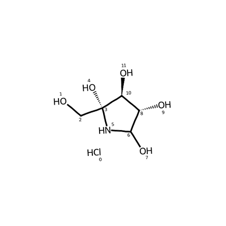 Cl.OC[C@]1(O)NC(O)[C@@H](O)[C@@H]1O